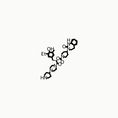 CCc1cc(C[C@@H](OC(=O)N2CCC(N3CCc4ccccc4NC3=O)CC2)C(=O)N2CCN(C3CCNCC3)CC2)cc(C)c1O